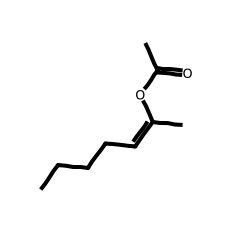 CCCCC=C(C)OC(C)=O